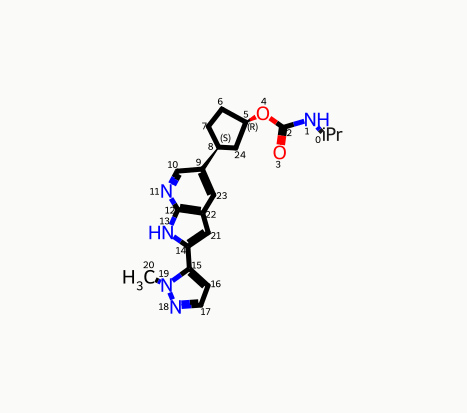 CC(C)NC(=O)O[C@@H]1CC[C@H](c2cnc3[nH]c(-c4ccnn4C)cc3c2)C1